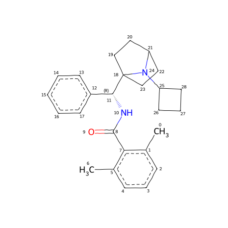 Cc1cccc(C)c1C(=O)N[C@H](c1ccccc1)C12CCC(CC1)N2C1CCC1